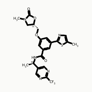 Cc1cnc(-c2cc(OC[C@@H]3CN(C)C(=O)O3)cc(C(=O)N[C@H](C)c3cnc(C(F)(F)F)nc3)c2)s1